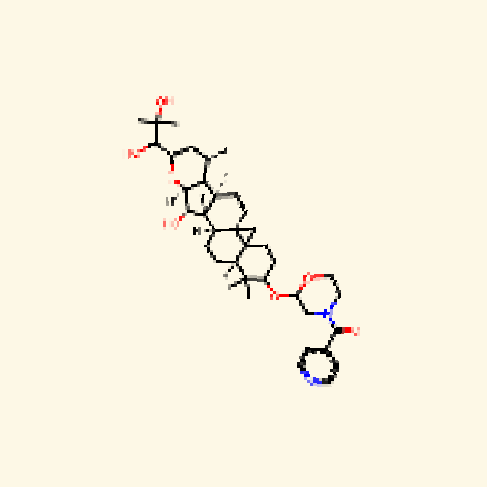 C[C@@H]1C[C@H](C(O)C(C)(C)O)O[C@H]2C1[C@@]1(C)CC[C@@]34CC35CCC(OC3CN(C(=O)c6ccncc6)CCO3)C(C)(C)[C@@H]5CC[C@H]4[C@]1(C)[C@H]2O